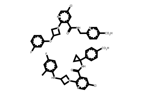 Cc1cc(F)ccc1NC1CN(c2ncc(Cl)cc2C(=O)NC2(c3ccc(C(=O)O)cc3)CC2)C1.O=C(O)c1ccc(CNC(=O)c2cc(Cl)cnc2N2CC(Oc3cccc(F)c3)C2)nc1